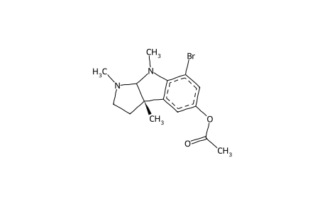 CC(=O)Oc1cc(Br)c2c(c1)[C@]1(C)CCN(C)C1N2C